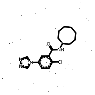 O=C(NC1CCCCCCC1)c1cc(-n2cnnc2)ccc1Cl